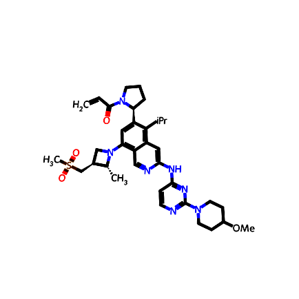 C=CC(=O)N1CCC[C@H]1c1cc(N2C[C@H](CS(C)(=O)=O)[C@H]2C)c2cnc(Nc3ccnc(N4CCC(OC)CC4)n3)cc2c1C(C)C